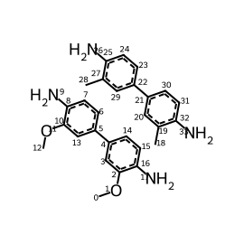 COc1cc(-c2ccc(N)c(OC)c2)ccc1N.Cc1cc(-c2ccc(N)c(C)c2)ccc1N